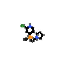 CC(C)Pc1cc(Cl)ncc1[C@@H]1CCCN1C